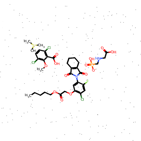 CCCCCOC(=O)COc1cc(N2C(=O)C3=C(CCCC3)C2=O)c(F)cc1Cl.COc1c(Cl)ccc(Cl)c1C(=O)O.C[S+](C)C.O=C(O)CNCP(=O)([O-])O